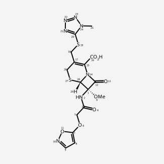 CO[C@@]1(NC(=O)COc2ccno2)C(=O)N2C(C(=O)O)=C(CSc3nnnn3C)CS[C@H]21